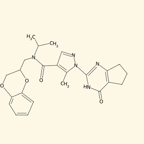 Cc1c(C(=O)N(CC2COc3ccccc3O2)C(C)C)cnn1-c1nc2c(c(=O)[nH]1)CCC2